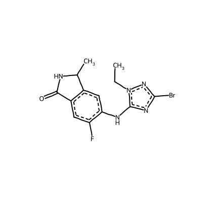 CCn1nc(Br)nc1Nc1cc2c(cc1F)C(=O)NC2C